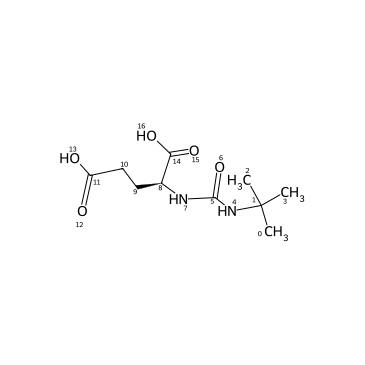 CC(C)(C)NC(=O)N[C@@H](CCC(=O)O)C(=O)O